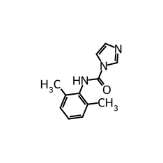 Cc1cccc(C)c1NC(=O)n1ccnc1